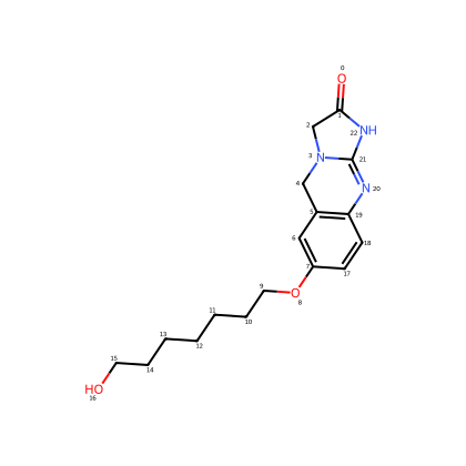 O=C1CN2Cc3cc(OCCCCCCCO)ccc3N=C2N1